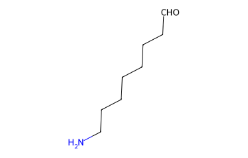 NCCCCCCCC=O